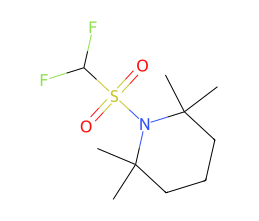 CC1(C)CCCC(C)(C)N1S(=O)(=O)C(F)F